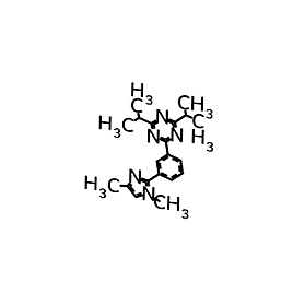 Cc1cn(C)c(-c2cccc(-c3nc(C(C)C)nc(C(C)C)n3)c2)n1